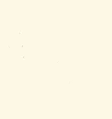 CO[Si](CCCOCC(O)CC(C)C)(OC)OC